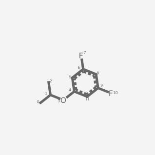 CC(C)Oc1cc(F)cc(F)c1